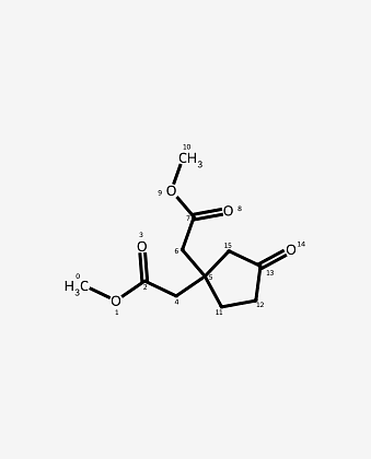 COC(=O)CC1(CC(=O)OC)CCC(=O)C1